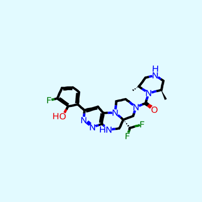 C[C@@H]1CNC[C@@H](C)N1C(=O)N1CCN2c3cc(-c4cccc(F)c4O)nnc3NC[C@]2(C(F)F)C1